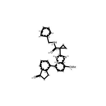 COc1ccc(-c2cccc3c2CCC3=O)n2nc(C3(C(=O)NCc4ccccc4)CC3)nc12